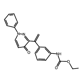 C=C(c1cccc(NC(=O)OCC)c1)c1nn(-c2ccccc2)ccc1=O